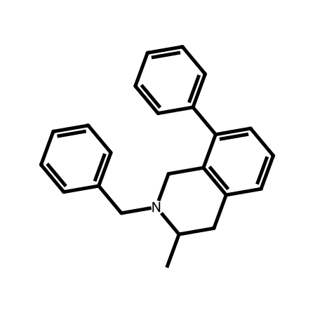 CC1Cc2cccc(-c3ccccc3)c2CN1Cc1ccccc1